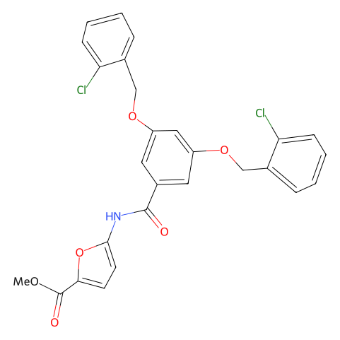 COC(=O)c1ccc(NC(=O)c2cc(OCc3ccccc3Cl)cc(OCc3ccccc3Cl)c2)o1